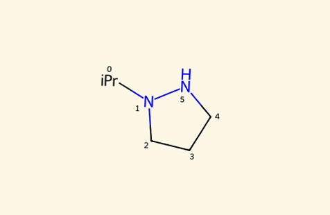 CC(C)N1CCCN1